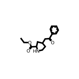 CCOC(=O)C1CC(CC(=O)c2ccccc2)CCN1